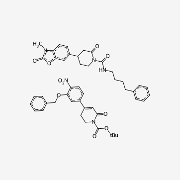 CC(C)(C)OC(=O)N1CCC(c2ccc([N+](=O)[O-])c(OCc3ccccc3)c2)=CC1=O.Cn1c(=O)oc2cc(C3CCN(C(=O)NCCCCc4ccccc4)C(=O)C3)ccc21